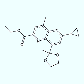 CCOC(=O)c1cc(C)c2cc(C3CC3)cc(C3(C)OCCO3)c2n1